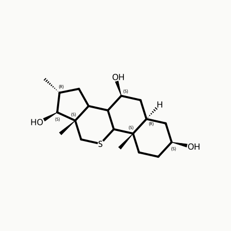 C[C@@H]1CC2C3C(SC[C@]2(C)[C@H]1O)[C@@]1(C)CC[C@H](O)C[C@@H]1C[C@@H]3O